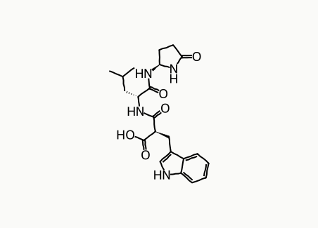 CC(C)C[C@@H](NC(=O)[C@@H](Cc1c[nH]c2ccccc12)C(=O)O)C(=O)N[C@H]1CCC(=O)N1